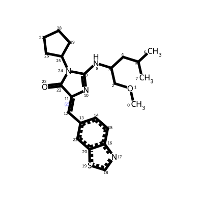 COCC(CC(C)C)NC1=N/C(=C\c2ccc3ncsc3c2)C(=O)N1C1CCCC1